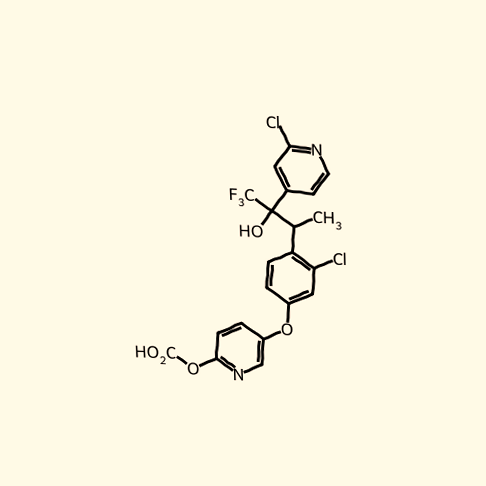 CC(c1ccc(Oc2ccc(OC(=O)O)nc2)cc1Cl)C(O)(c1ccnc(Cl)c1)C(F)(F)F